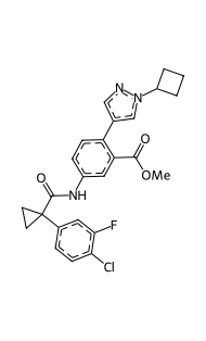 COC(=O)c1cc(NC(=O)C2(c3ccc(Cl)c(F)c3)CC2)ccc1-c1cnn(C2CCC2)c1